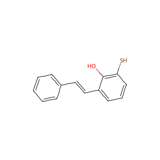 Oc1c(S)cccc1C=Cc1ccccc1